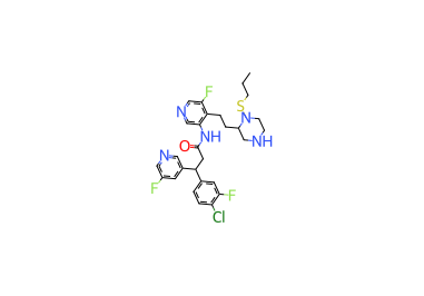 CCCSN1CCNCC1CCc1c(F)cncc1NC(=O)CC(c1cncc(F)c1)c1ccc(Cl)c(F)c1